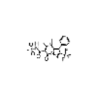 Cc1[nH]c2c(-c3ccccc3)c(C(F)(F)F)nn2c(=O)c1C(=O)NS(C)(=O)=O